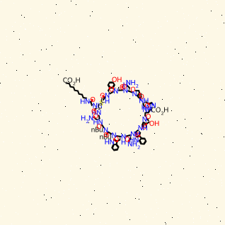 CCCC[C@H]1C(=O)N(C)[C@@H](CCCC)C(=O)N[C@@H](CCN)C(=O)N[C@H](C(=O)NCC(=O)NCCCCCCCCCCC(=O)O)CSCC(=O)N[C@@H](Cc2ccc(O)cc2)C(=O)N(C)[C@@H](C)C(=O)N[C@@H](CC(N)=O)C(=O)N2CCC[C@H]2C(=O)N[C@@H](Cc2cnc[nH]2)C(=O)NC(CCC(=O)O)C(=O)N2C[C@H](O)C[C@H]2C(=O)N[C@@H](Cc2c[nH]c3ccccc23)C(=O)N[C@@H](CCN)C(=O)N[C@@H](Cc2c[nH]c3ccccc23)C(=O)N1C